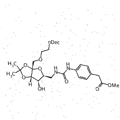 CCCCCCCCCCCCOC[C@@]12O[C@@H](CNC(=O)Nc3ccc(CC(=O)OC)cc3)[C@@H](O)[C@@H]1OC(C)(C)O2